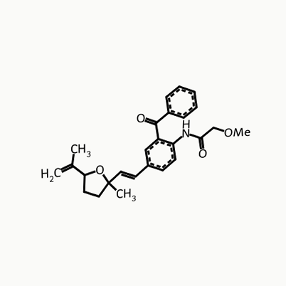 C=C(C)C1CCC(C)(/C=C/c2ccc(NC(=O)COC)c(C(=O)c3ccccc3)c2)O1